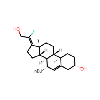 CCCC[C@H]1C=C2C[C@@H](O)CC[C@]2(C)[C@H]2CC[C@]3(C)C(=C(F)CO)CC[C@H]3[C@H]12